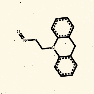 O=NCCN1c2ccccc2Cc2ccccc21